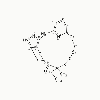 CCC1(C)CCCCOc2cccc(n2)Nc2n[nH]c3c2CN(C3)C1=O